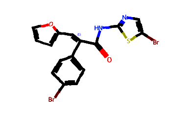 O=C(Nc1ncc(Br)s1)/C(=C/c1ccco1)c1ccc(Br)cc1